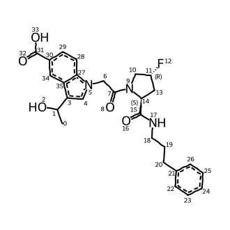 CC(O)c1cn(CC(=O)N2C[C@H](F)C[C@H]2C(=O)NCCCc2ccccc2)c2ccc(C(=O)O)cc12